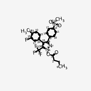 CCCC(=O)On1nc(-c2ccc(S(C)(=O)=O)cc2)c(-c2ccc(C)c(F)c2)c1C(F)(F)F